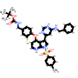 Cc1ccc(S(=O)(=O)n2cc(-c3cc(NCc4ccccc4)ncn3)c3c(Oc4ccc(CNC(=O)OC(C)(C)C)cc4F)ccnc32)cc1